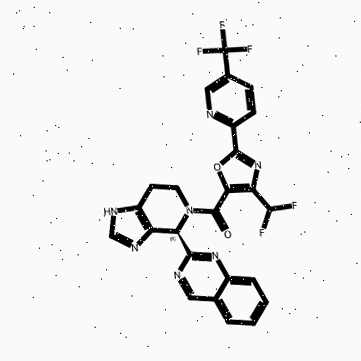 O=C(c1oc(-c2ccc(C(F)(F)F)cn2)nc1C(F)F)N1CCc2[nH]cnc2[C@@H]1c1ncc2ccccc2n1